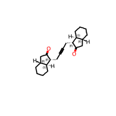 O=C1C[C@H]2CCCC[C@@H]2[C@H]1CC#CC[C@H]1C(=O)C[C@H]2CCCC[C@@H]21